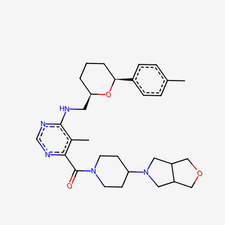 Cc1ccc([C@@H]2CCC[C@H](CNc3ncnc(C(=O)N4CCC(N5CC6COCC6C5)CC4)c3C)O2)cc1